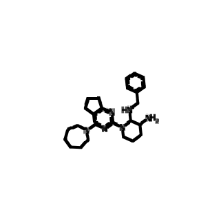 NC1CCCN(c2nc3c(c(N4CCCCCC4)n2)CCC3)C1NCc1ccccc1